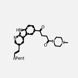 CCCCCC=Cc1cnc2[nH]c3ccc(C(=O)CCC(=O)N4CCN(C)CC4)cc3c2c1